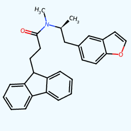 C[C@@H](Cc1ccc2occc2c1)N(C)C(=O)CCC1c2ccccc2-c2ccccc21